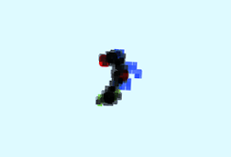 COc1ccc2nccc(CC(N)[C@@H]3CC[C@@H](NCC=Cc4cc(F)ccc4F)CO3)c2c1